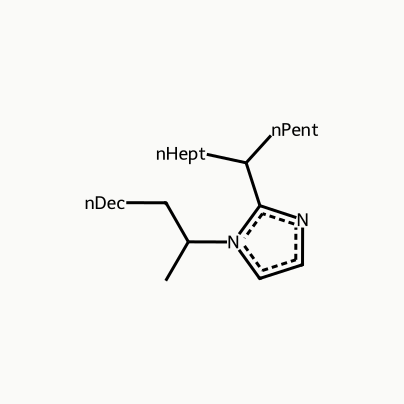 CCCCCCCCCCCC(C)n1ccnc1C(CCCCC)CCCCCCC